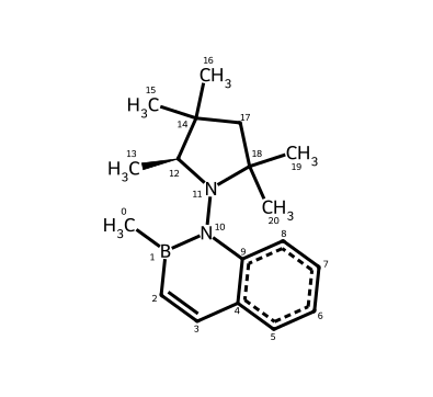 CB1C=Cc2ccccc2N1N1[C@@H](C)C(C)(C)CC1(C)C